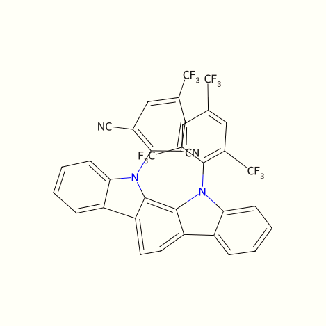 N#Cc1cc(C(F)(F)F)cc(C#N)c1-n1c2ccccc2c2ccc3c4ccccc4n(-c4c(C(F)(F)F)cc(C(F)(F)F)cc4C(F)(F)F)c3c21